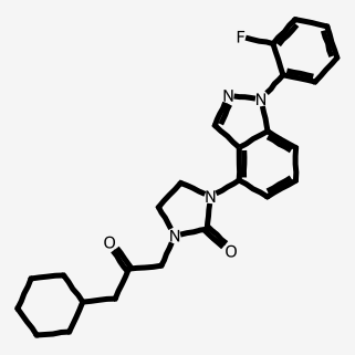 O=C(CC1CCCCC1)CN1CCN(c2cccc3c2cnn3-c2ccccc2F)C1=O